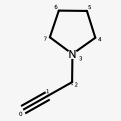 C#C[CH]N1CCCC1